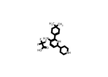 CC1(C)CC=C(C2=C(N)C=CC(C3CCNCC3)N2)CC1.O=C(O)C(F)(F)F